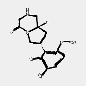 CCCOc1ccc(Cl)c(Cl)c1[C@H]1C[C@H]2CNCC(=O)N2C1